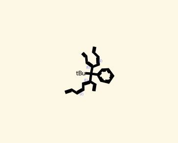 C=C/C=C\C=C(/C=C)C(C(/C=C\C=C)=C/C=C)(c1ccccc1)C(C)(C)C